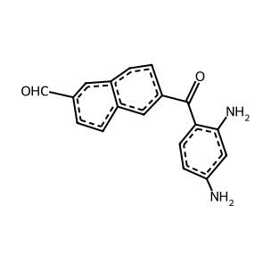 Nc1ccc(C(=O)c2ccc3cc(C=O)ccc3c2)c(N)c1